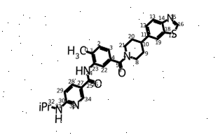 Cc1ccc(C(=O)N2CCC(c3ccc4ncsc4c3)CC2)cc1NC(=O)c1ccc(NC(C)C)nc1